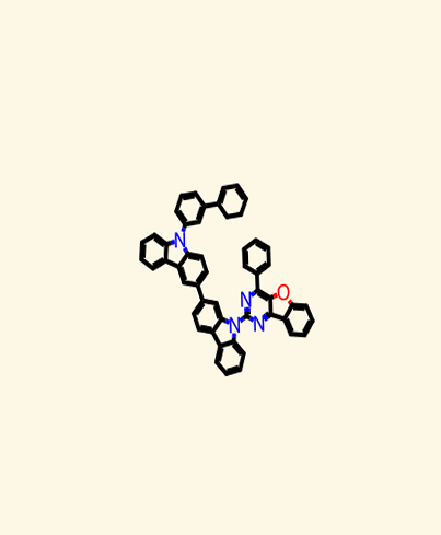 C1=CCCC(c2cccc(-n3c4ccccc4c4cc(-c5ccc6c7ccccc7n(-c7nc(-c8ccccc8)c8oc9ccccc9c8n7)c6c5)ccc43)c2)=C1